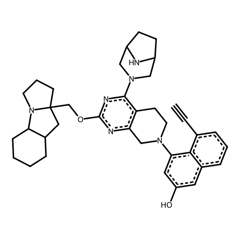 C#Cc1cccc2cc(O)cc(N3CCc4c(nc(OCC56CCCN5C5CCCCC5C6)nc4N4CC5CCC(C4)N5)C3)c12